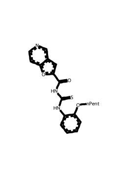 CCCCCOc1ccccc1NC(=S)NC(=O)c1cc2cnccc2o1